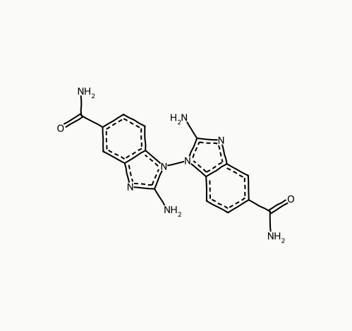 NC(=O)c1ccc2c(c1)nc(N)n2-n1c(N)nc2cc(C(N)=O)ccc21